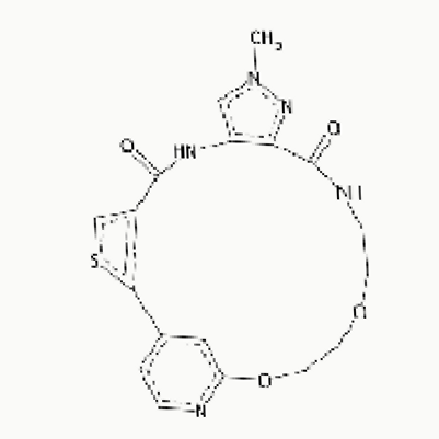 Cn1cc2c(n1)C(=O)NCCOCCOc1cc(ccn1)-c1cc(cs1)C(=O)N2